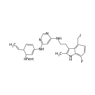 C=CC1C=CC(Nc2cc(NCCc3c(C)[nH]c4c(F)ccc(CI)c34)ncn2)=CC1CCCCC